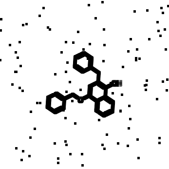 Oc1c(Cc2ccccc2)cc(OCc2ccccc2)c2ccccc12